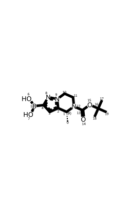 C[C@@H]1c2cc(B(O)O)nn2CCN1C(=O)OC(C)(C)C